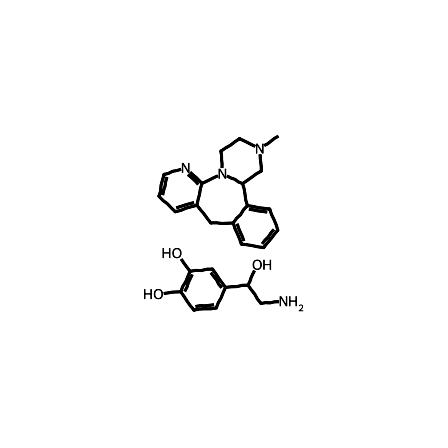 CN1CCN2c3ncccc3Cc3ccccc3C2C1.NCC(O)c1ccc(O)c(O)c1